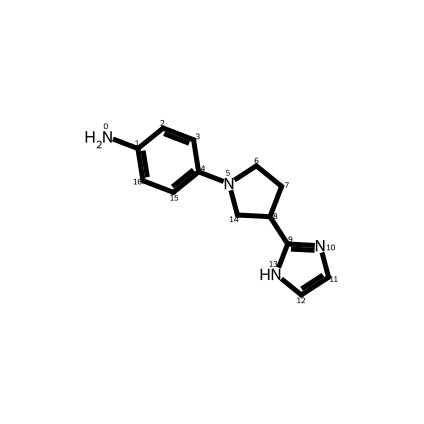 Nc1ccc(N2CCC(c3ncc[nH]3)C2)cc1